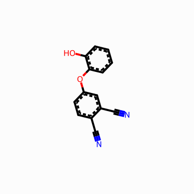 N#Cc1ccc(Oc2ccccc2O)cc1C#N